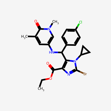 CCOC(=O)c1nc(Br)n(C2CC2)c1C(Nc1cc(C)c(=O)n(C)c1)c1ccc(Cl)cc1